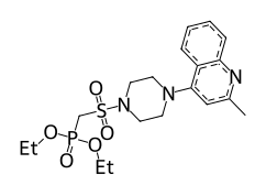 CCOP(=O)(CS(=O)(=O)N1CCN(c2cc(C)nc3ccccc23)CC1)OCC